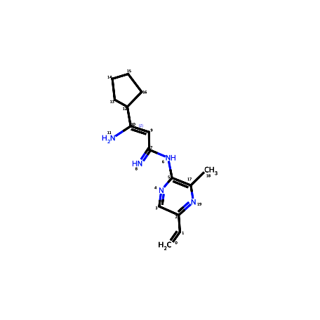 C=Cc1cnc(NC(=N)/C=C(\N)C2CCCC2)c(C)n1